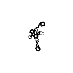 CCOc1cc(OCCCN2CCCCC2)cc2c1-c1c(OCCCN3CCCCC3)cccc1C2=O